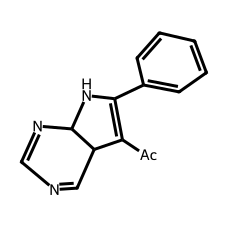 CC(=O)C1=C(c2ccccc2)NC2N=CN=CC12